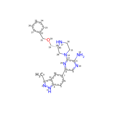 Cc1n[nH]c2ccc(-c3cnc(N)c(N4CCN[C@@H](COCc5ccccc5)C4)n3)cc12